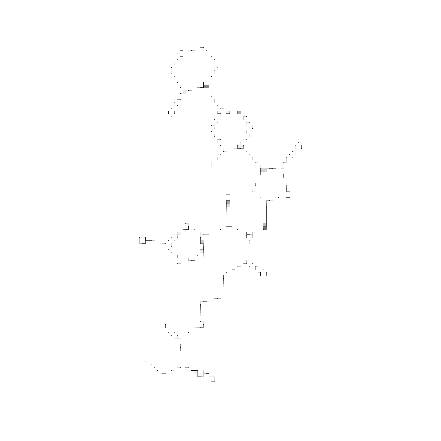 CC(C)[C@H](N)C(=O)SCCCC(=O)N(C[C@H]1CN(c2ccc(N3CCOCC3=O)cc2F)C(=O)O1)C(=O)c1ccc(Cl)s1